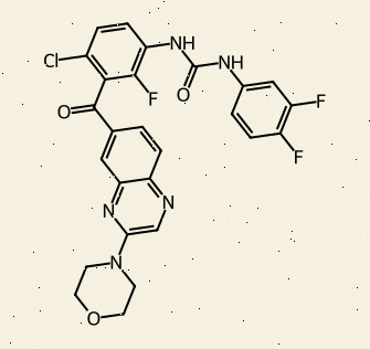 O=C(Nc1ccc(F)c(F)c1)Nc1ccc(Cl)c(C(=O)c2ccc3ncc(N4CCOCC4)nc3c2)c1F